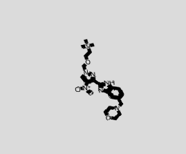 C[Si](C)(C)CCOCn1cc([N+](=O)[O-])c(-c2nc3cc(CN4CCOCC4)ccc3[nH]2)n1